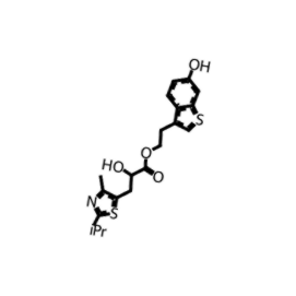 Cc1nc(C(C)C)sc1CC(O)C(=O)OCCc1csc2cc(O)ccc12